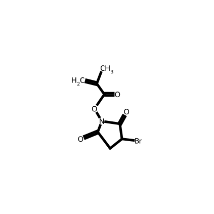 C=C(C)C(=O)ON1C(=O)CC(Br)C1=O